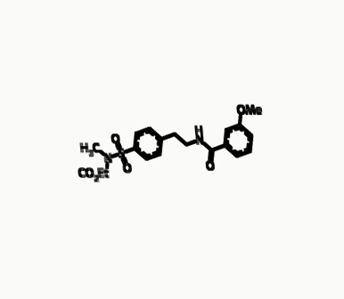 CCOC(=O)N(C)S(=O)(=O)c1ccc(CCNC(=O)c2cccc(OC)c2)cc1